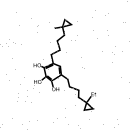 CCC1(CCCCc2cc(CCCCC3(C)CC3)c(O)c(O)c2O)CC1